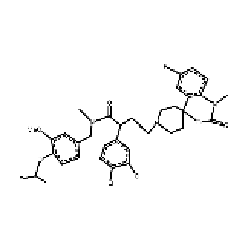 COc1cc(CN(C)C(=O)C(CCN2CCC3(CC2)OC(=O)N(C)c2ccc(F)cc23)c2ccc(Cl)c(Cl)c2)ccc1OC(F)F